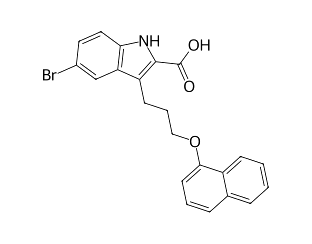 O=C(O)c1[nH]c2ccc(Br)cc2c1CCCOc1cccc2ccccc12